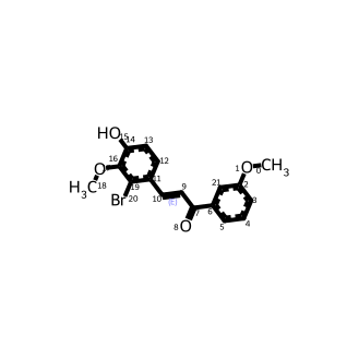 COc1cccc(C(=O)/C=C/c2ccc(O)c(OC)c2Br)c1